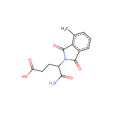 Cc1cccc2c1C(=O)N(C(CCC(=O)O)C(N)=O)C2=O